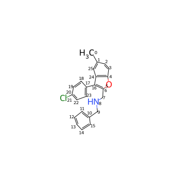 Cc1ccc2oc(CNCc3ccccc3)c(-c3ccc(Cl)cc3)c2c1